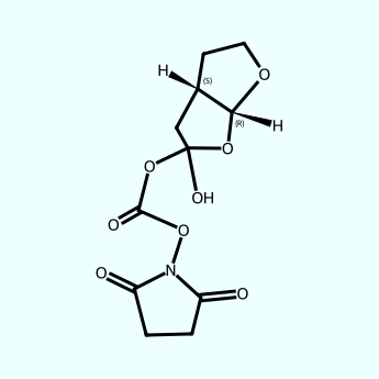 O=C(ON1C(=O)CCC1=O)OC1(O)C[C@@H]2CCO[C@@H]2O1